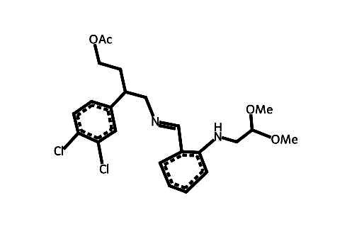 COC(CNc1ccccc1C=NCC(CCOC(C)=O)c1ccc(Cl)c(Cl)c1)OC